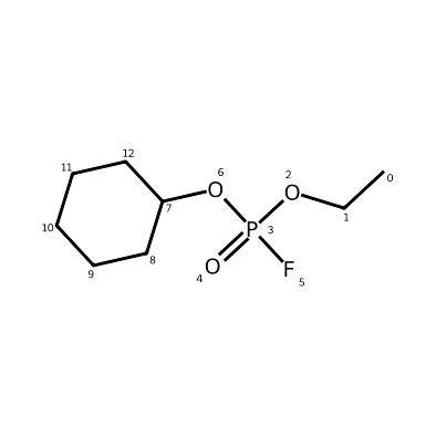 CCOP(=O)(F)OC1CCCCC1